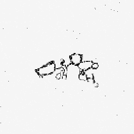 CB1OCc2cccc(NS(=O)(=O)c3cccnc3)c21